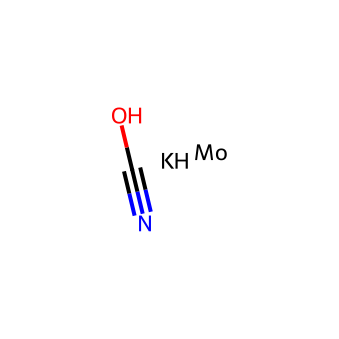 N#CO.[KH].[Mo]